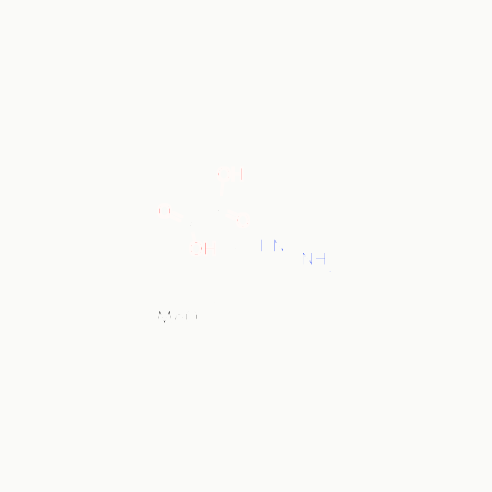 COc1ccc(NN)cc1.O=C(O)C(=O)O